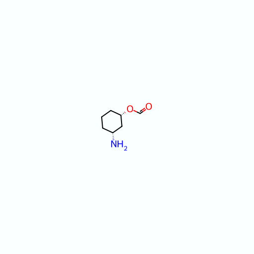 N[C@@H]1CCC[C@H](OC=O)C1